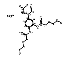 CCCCCC(=O)Oc1ccc(C(C=O)NC(C)C)cc1OC(=O)CCCCC.Cl